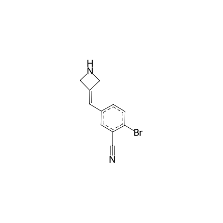 N#Cc1cc(C=C2CNC2)ccc1Br